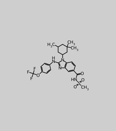 CC1CC(n2c(Nc3ccc(OC(F)(F)F)cc3)nc3cc(C(=O)NS(C)(=O)=O)ccc32)CC(C)(C)C1